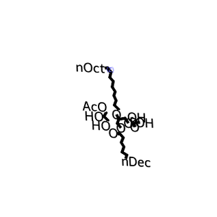 CC(=O)OCC(O)CO.CCCCCCCC/C=C\CCCCCCCCOC(COC(=O)CCCCCCCCCCCCCCC)COP(=O)(O)O